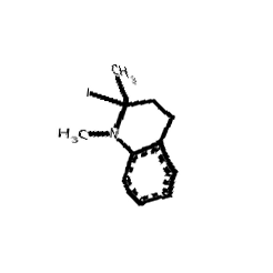 CN1c2ccccc2CCC1(C)I